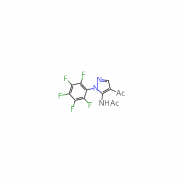 CC(=O)Nc1c(C(C)=O)cnn1-c1c(F)c(F)c(F)c(F)c1F